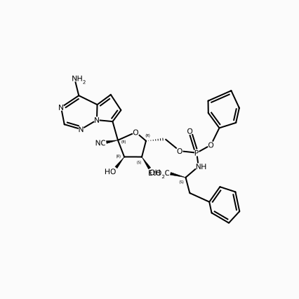 CCOC(=O)[C@H](Cc1ccccc1)NP(=O)(OC[C@H]1O[C@@](C#N)(c2ccc3c(N)ncnn23)[C@H](O)[C@@H]1O)Oc1ccccc1